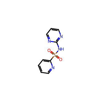 O=S(=O)(Nc1ncccn1)c1ccccn1